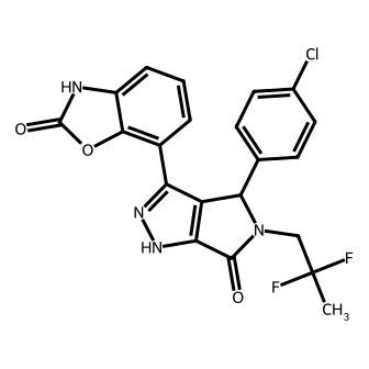 CC(F)(F)CN1C(=O)c2[nH]nc(-c3cccc4[nH]c(=O)oc34)c2C1c1ccc(Cl)cc1